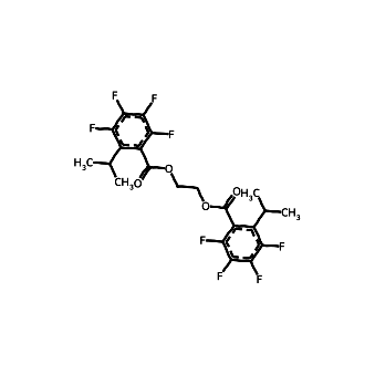 CC(C)c1c(F)c(F)c(F)c(F)c1C(=O)OCCOC(=O)c1c(F)c(F)c(F)c(F)c1C(C)C